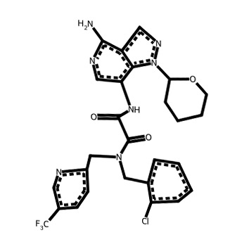 Nc1ncc(NC(=O)C(=O)N(Cc2ccc(C(F)(F)F)cn2)Cc2ccccc2Cl)c2c1cnn2C1CCCCO1